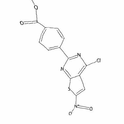 COC(=O)c1ccc(-c2nc(Cl)c3cc([N+](=O)[O-])sc3n2)cc1